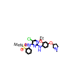 CCOc1cc(O[C@H]2CCN(C)C2)ccc1Nc1ncc(Cl)c(Nc2ccccc2S(=O)(=O)NC)n1